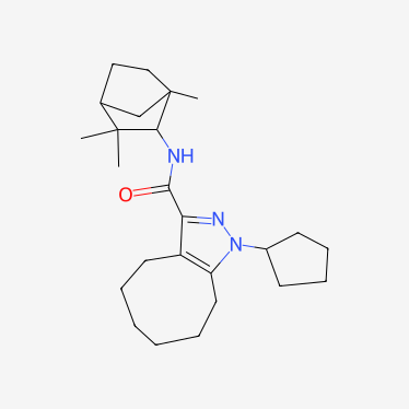 CC12CCC(C1)C(C)(C)C2NC(=O)c1nn(C2CCCC2)c2c1CCCCCC2